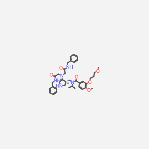 COCCCOc1cc(C(=O)N(C[C@@H]2CNC[C@H]2N(CC(=O)NCc2ccccc2)CC(=O)NCc2ccccc2)C(C)C)ccc1OC